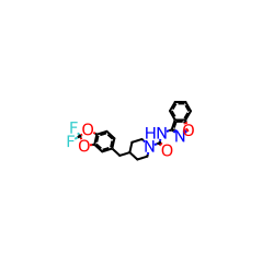 O=C(Nc1noc2ccccc12)N1CCC(Cc2ccc3c(c2)OC(F)(F)O3)CC1